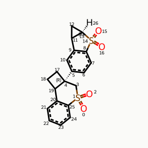 O=S1(=O)C[C@]2(c3ccc4c(c3)C3C[C@H]3S4(=O)=O)CCC2c2ccccc21